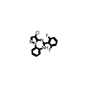 Fc1cccc(F)c1C1=Nc2c(Cl)cnn2-c2ccccc2N1